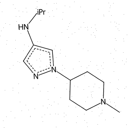 CC(C)Nc1cnn(C2CCN(C)CC2)c1